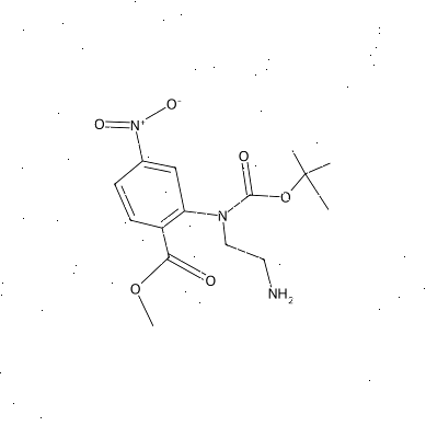 COC(=O)c1ccc([N+](=O)[O-])cc1N(CCN)C(=O)OC(C)(C)C